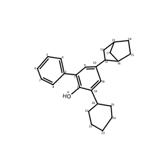 Oc1c(-c2ccccc2)cc(C2CC3CCC2C3)cc1C1CCCCC1